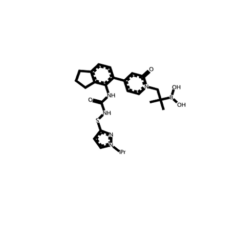 CC(C)n1ccc(SNC(=O)Nc2c(-c3ccn(CC(C)(C)B(O)O)c(=O)c3)ccc3c2CCC3)n1